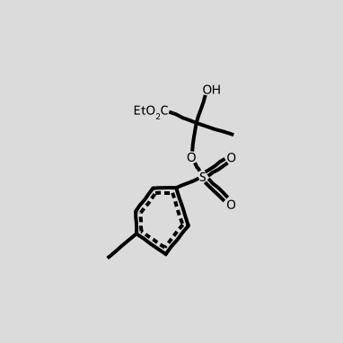 CCOC(=O)C(C)(O)OS(=O)(=O)c1ccc(C)cc1